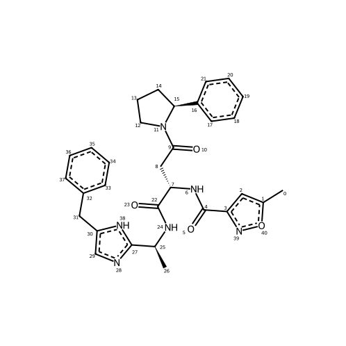 Cc1cc(C(=O)N[C@@H](CC(=O)N2CCC[C@H]2c2ccccc2)C(=O)N[C@@H](C)c2ncc(Cc3ccccc3)[nH]2)no1